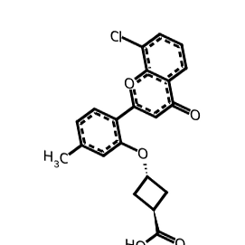 Cc1ccc(-c2cc(=O)c3cccc(Cl)c3o2)c(O[C@H]2C[C@H](C(=O)O)C2)c1